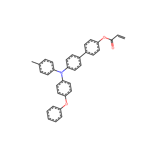 C=CC(=O)Oc1ccc(-c2ccc(N(c3ccc(C)cc3)c3ccc(Oc4ccccc4)cc3)cc2)cc1